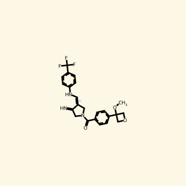 COC1(c2ccc(C(=O)N3CC(=N)/C(=C\Nc4ccc(C(F)(F)F)cc4)C3)cc2)COC1